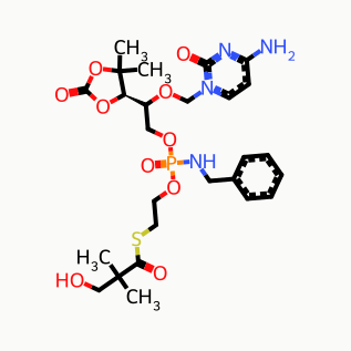 CC(C)(CO)C(=O)SCCOP(=O)(NCc1ccccc1)OCC(OCn1ccc(N)nc1=O)[C@H]1OC(=O)OC1(C)C